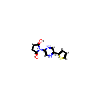 O=C1CCC(=O)N1c1cnc(-c2cccs2)cn1